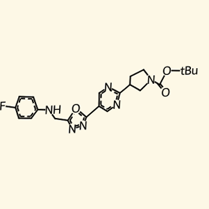 CC(C)(C)OC(=O)N1CCC(c2ncc(-c3nnc(CNc4ccc(F)cc4)o3)cn2)C1